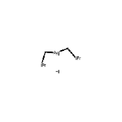 CC(C)[CH2][Ag][CH2]C(C)C.I